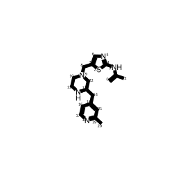 C=C(C)Nc1ncc(CN2CCNC(Cc3ccnc(C)c3)C2)s1